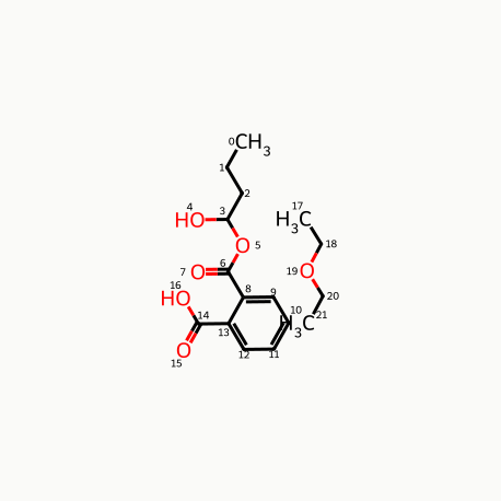 CCCC(O)OC(=O)c1ccccc1C(=O)O.CCOCC